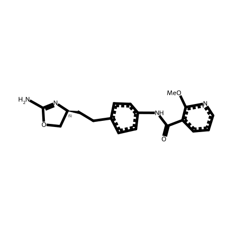 COc1ncccc1C(=O)Nc1ccc(CC[C@H]2COC(N)=N2)cc1